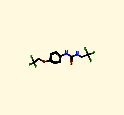 FC(F)(F)CNC(=S)Nc1ccc(SCC(F)(F)F)cc1